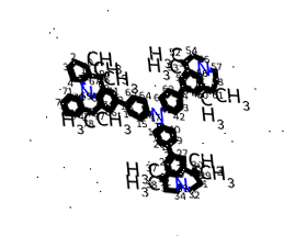 CC1CC=CC2=C1C(C)(C)c1cc(-c3ccc(N(c4ccc(-c5cc6c7c(c5)C(C)(C)CCN7CCC6(C)C)cc4)c4ccc(-c5cc6c7c(c5)C(C)(C)CCN7CCC6(C)C)cc4)cc3)cc3c1N2c1ccccc1C3(C)C